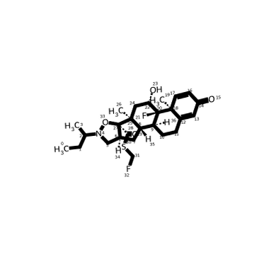 CCC(C)N1C[C@@H]2C[C@H]3[C@@H]4CCC5=CC(=O)C=C[C@]5(C)[C@@]4(F)[C@@H](O)C[C@]3(C)[C@]2(C(=O)SCF)O1